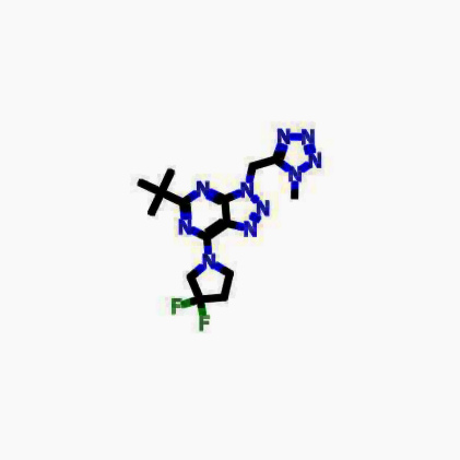 Cn1nnnc1Cn1nnc2c(N3CCC(F)(F)C3)nc(C(C)(C)C)nc21